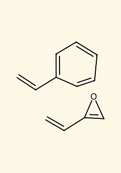 C=CC1=CO1.C=Cc1ccccc1